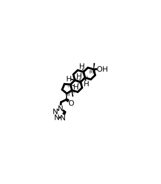 C[C@@]1(O)CC[C@H]2[C@@H](CC[C@@H]3[C@@H]2CC[C@]2(C)[C@@H](C(=O)Cn4cnnn4)CC[C@@H]32)C1